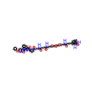 Cc1nc(Oc2ccccc2)ccc1N1C(=O)NC2=C(C(=O)N[C@@H]3CCCN(C(=O)/C=C/CNC(=O)CCCC(=O)NCCCOCCOCCOCCCNC(=O)CCCC[C@@H]4CC[C@@H]5NC(=O)N[C@H]45)C3)Cc3cccc1c32